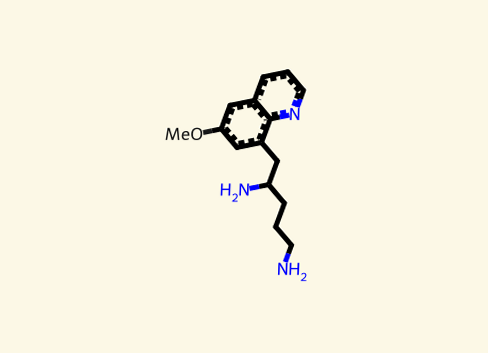 COc1cc(CC(N)CCCN)c2ncccc2c1